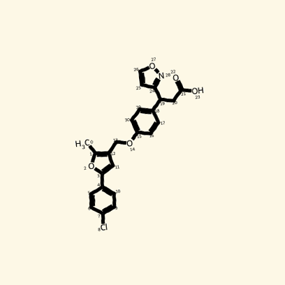 Cc1oc(-c2ccc(Cl)cc2)cc1COc1ccc(C(CC(=O)O)c2ccon2)cc1